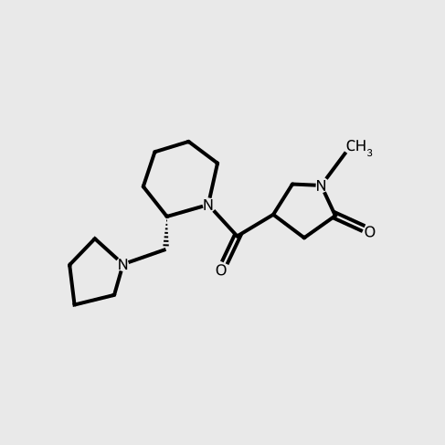 CN1CC(C(=O)N2CCCC[C@H]2CN2CCCC2)CC1=O